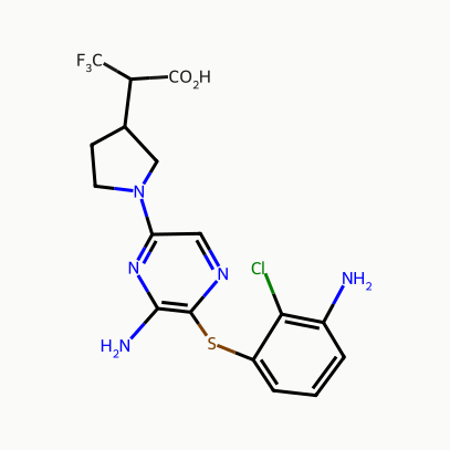 Nc1cccc(Sc2ncc(N3CCC(C(C(=O)O)C(F)(F)F)C3)nc2N)c1Cl